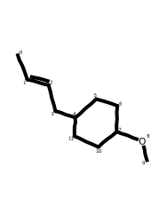 CC=CCC1CCC(OC)CC1